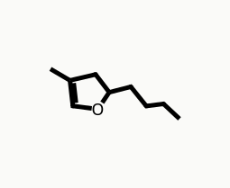 CCCCC1CC(C)=CO1